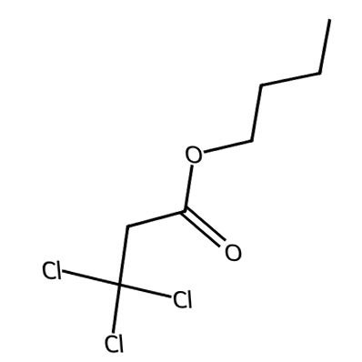 CCCCOC(=O)CC(Cl)(Cl)Cl